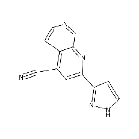 N#Cc1cc(-c2cc[nH]n2)nc2cnccc12